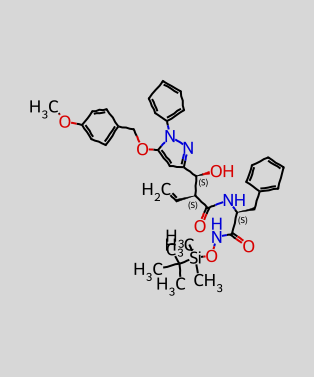 C=C[C@H](C(=O)N[C@@H](Cc1ccccc1)C(=O)NO[Si](C)(C)C(C)(C)C)[C@H](O)c1cc(OCc2ccc(OC)cc2)n(-c2ccccc2)n1